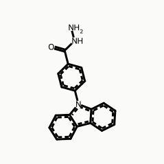 NNC(=O)c1ccc(-n2c3ccccc3c3ccccc32)cc1